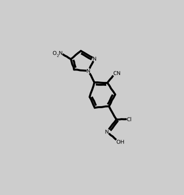 N#Cc1cc(/C(Cl)=N/O)ccc1-n1cc([N+](=O)[O-])cn1